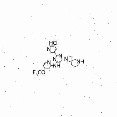 Cl.FC(F)(F)Oc1ccnc(Nc2cc(N3CCC4(CCCNC4)C3)nc(-c3cccnc3)n2)c1